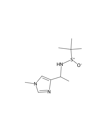 CC(N[S+]([O-])C(C)(C)C)c1cn(C)cn1